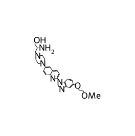 COCCOc1ccc2c(c1)ncn2-c1ccc2cc(N3CCN(C[C@@H](N)CO)CC3)ccc2n1